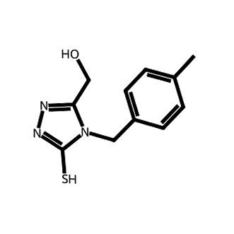 Cc1ccc(Cn2c(S)nnc2CO)cc1